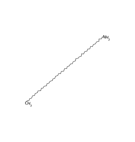 CCCCCCCCCCCCCCCCCCCCCCCCCCCCCCCCCCCCCCCCCCCCCCCCCCCCCCN